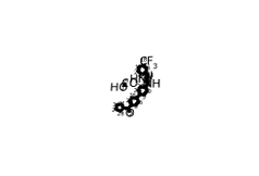 O=C(O)O.O=C(c1ccc(-c2ccc(Nc3nc4cc(C(F)(F)F)ccc4[nH]3)cc2)cc1)C1CCCC1